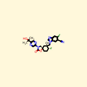 CC(C)(O)c1cnc(N2C[C@@]3(CC[C@@H](F)[C@](C)(Cn4cnc5cc(F)c(C#N)cc54)C3)OC2=O)cn1